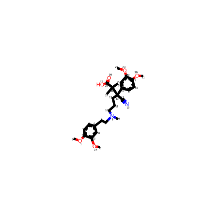 COc1ccc(CCN(C)CCCC(C#N)(c2ccc(OC)c(OC)c2)C(C)(C)C(=O)O)cc1OC